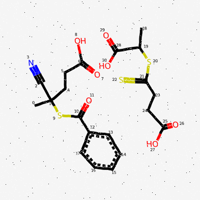 CC(C#N)(CCC(=O)O)SC(=O)c1ccccc1.CC(SC(=S)CCC(=O)O)C(=O)O